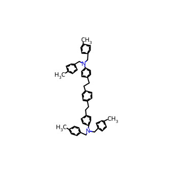 Cc1ccc(CN(Cc2ccc(C)cc2)c2ccc(CCc3ccc(CCc4ccc(N(Cc5ccc(C)cc5)Cc5ccc(C)cc5)cc4)cc3)cc2)cc1